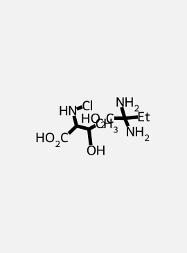 CC(O)C(NCl)C(=O)O.CCC(N)(N)C(=O)O